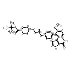 COc1ccc2[nH]c(=O)c3sccc3c2c1-c1ccc(CNCCC2CCN(C(=O)OC(C)(C)C)CC2)cc1